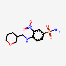 NS(=O)(=O)c1ccc(NCC2CCCOC2)c([N+](=O)[O-])c1